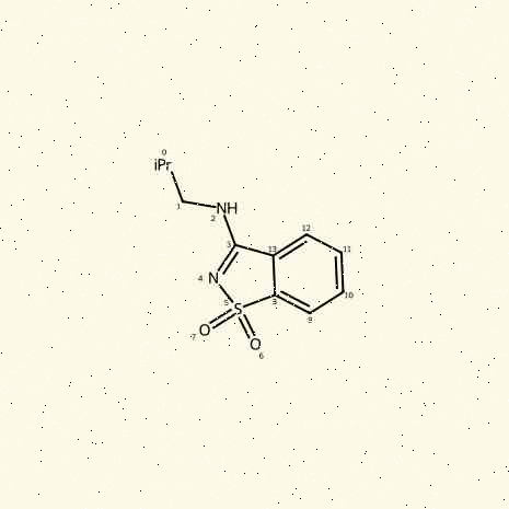 CC(C)CNC1=NS(=O)(=O)c2ccccc21